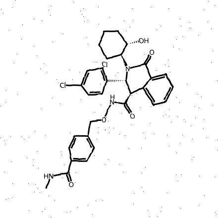 CNC(=O)c1ccc(CONC(=O)[C@@H]2c3ccccc3C(=O)N([C@H]3CCCC[C@@H]3O)[C@H]2c2ccc(Cl)cc2Cl)cc1